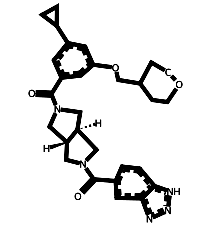 O=C(c1cc(OCC2CCOCC2)cc(C2CC2)c1)N1C[C@H]2CN(C(=O)c3ccc4[nH]nnc4c3)C[C@@H]2C1